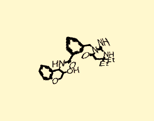 CCC1(CC)CC(=O)N(Cc2cccc(C(=O)N[C@@H]3c4ccccc4OCC3O)c2)C(=N)N1